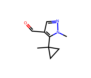 Cn1ncc(C=O)c1C1(C)CC1